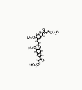 COc1cc2sc(C(=O)CCC(=O)O)cc2cc1CCCOc1cc2cc(C(=O)CCC(=O)O)sc2cc1OC